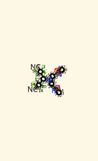 N#Cc1c(F)c(F)c(-c2cc(-c3c(F)c(F)c(C#N)c(F)c3F)cc(-n3c4ccc(-c5nc6ccccc6o5)cc4c4cc(-c5nc6ccccc6o5)ccc43)c2)c(F)c1F